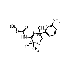 CC(C)(C)OC(=O)NC1=N[C@](C)(c2cccc(N)n2)CO[C@@]1(C)C(F)(F)F